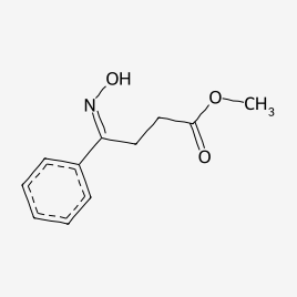 COC(=O)CCC(=NO)c1ccccc1